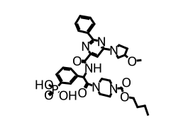 CCCCOC(=O)N1CCN(C(=O)C(NC(=O)c2cc(N3CCC(OC)C3)nc(-c3ccccc3)n2)c2cccc(P(=O)(O)O)c2)CC1